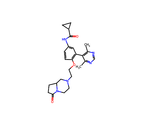 Cc1ncnc(C)c1-c1cc(NC(=O)C2CC2)ccc1OCCN1CCN2C(=O)CCC2C1